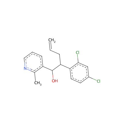 C=CCC(c1ccc(Cl)cc1Cl)C(O)c1cccnc1C